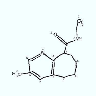 CNC(=O)C1CCCc2cc(C)cnc21